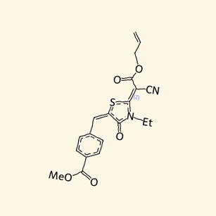 C=CCOC(=O)/C(C#N)=c1\sc(=Cc2ccc(C(=O)OC)cc2)c(=O)n1CC